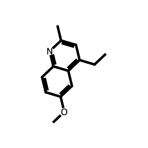 CCc1cc(C)nc2ccc(OC)cc12